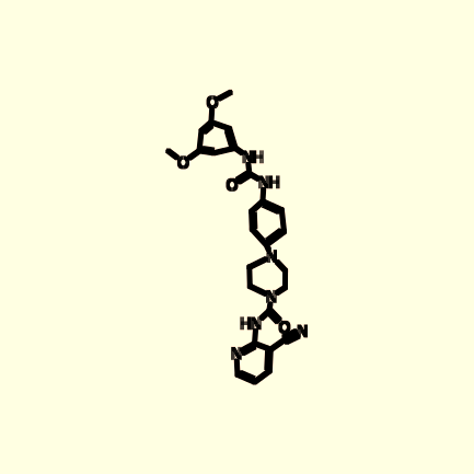 COc1cc(NC(=O)Nc2ccc(N3CCN(C(=O)Nc4ncccc4C#N)CC3)cc2)cc(OC)c1